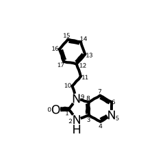 O=c1[nH]c2cnccc2n1CCc1ccccc1